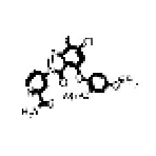 COc1cc(OC(F)(F)F)ccc1Oc1cc(Cl)c(C)c(F)c1C(=O)Nc1ccnc(C(N)=O)c1